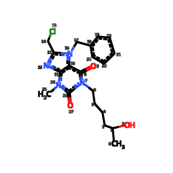 CC(O)CCCCn1c(=O)c2c(nc(CCl)n2Cc2ccccc2)n(C)c1=O